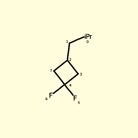 CC(C)CC1CC(F)(F)C1